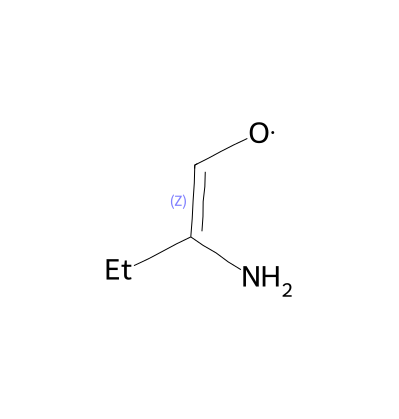 CC/C(N)=C/[O]